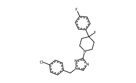 Fc1ccc(C2(F)CCN(c3ncn(Cc4ccc(Cl)cc4)n3)CC2)cc1